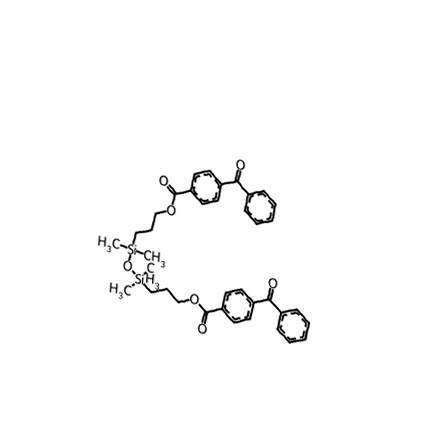 C[Si](C)(CCCOC(=O)c1ccc(C(=O)c2ccccc2)cc1)O[Si](C)(C)CCCOC(=O)c1ccc(C(=O)c2ccccc2)cc1